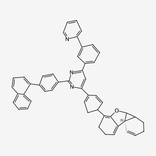 C1=C[C@]23C4=CCCC(C5C=CC(c6cc(-c7cccc(-c8ccccn8)c7)nc(-c7ccc(-c8cccc9ccccc89)cc7)n6)=CC5)=C4OC2C3CC1